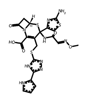 CON=CC(=O)NC1(c2csc(N)n2)S[C@H]2CC(=O)N2C(C(=O)O)=C1CSc1nnc(-c2ccc[nH]2)[nH]1